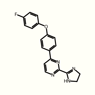 Fc1ccc(Oc2ccc(-c3ccnc(C4=NCCN4)n3)cc2)cc1